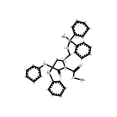 CC(C)(C)OC(=O)N1C(=O)C([Se]c2ccccc2)([Se]c2ccccc2)C[C@H]1CO[Si](c1ccccc1)(c1ccccc1)C(C)(C)C